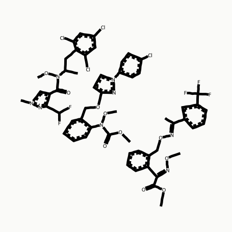 CO/N=C(/C(=O)OC)c1ccccc1CO/N=C(\C)c1cccc(C(F)(F)F)c1.COC(=O)N(OC)c1ccccc1COc1ccn(-c2ccc(Cl)cc2)n1.CON(C(=O)c1cn(C)nc1C(F)F)C(C)Cc1c(Cl)cc(Cl)cc1Cl